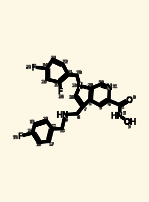 O=C(NO)c1cc2c(CNCc3ccc(F)cc3)cn(Cc3ccc(F)cc3F)c2cn1